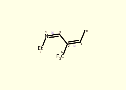 C/C=C(\C=N/CC)C(F)(F)F